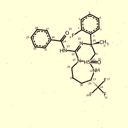 C[C@@]1(c2ccccc2F)C[SH]2(=O)N[C@H](C(F)(F)F)CCCN2C(NC(=O)c2ccccc2)=N1